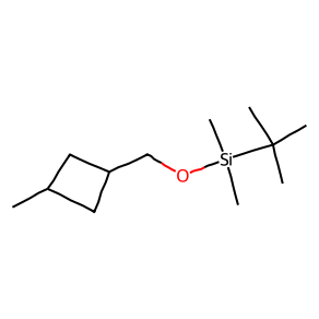 CC1CC(CO[Si](C)(C)C(C)(C)C)C1